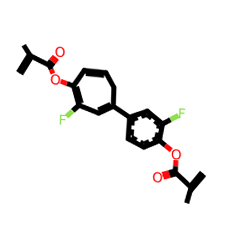 C=C(C)C(=O)OC1=C(F)C=C(c2ccc(OC(=O)C(=C)C)c(F)c2)CC=C1